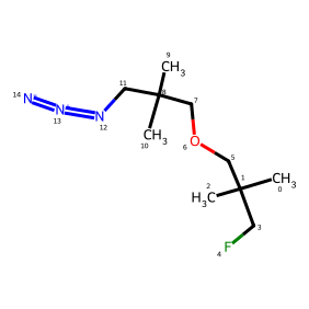 CC(C)(CF)COCC(C)(C)CN=[N+]=[N-]